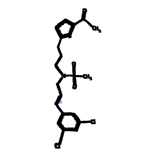 CC(=O)c1ccc(CCCN(C/C=C/c2cc(Cl)cc(Cl)c2)S(C)(=O)=O)s1